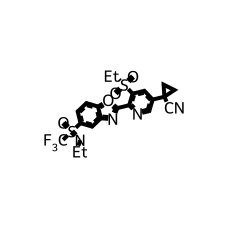 CCN=S(=O)(c1ccc2oc(-c3ncc(C4(C#N)CC4)cc3S(=O)(=O)CC)nc2c1)C(F)(F)F